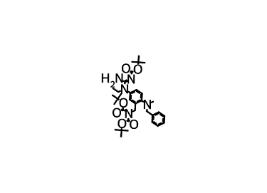 CCN(C(N)=NC(=O)OC(C)(C)C)c1ccc(N(C)Cc2ccccc2)c(CN(C(=O)OC(C)(C)C)C(=O)OC(C)(C)C)c1